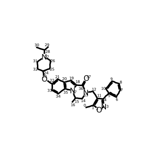 Cc1onc(-c2ccccc2)c1CN1CC(C)n2c(cc3cc(OC4CCN(C(C)C)CC4)ccc32)C1=O